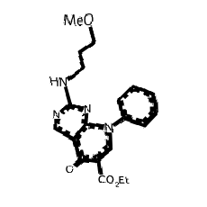 CCOC(=O)c1cn(-c2ccccc2)c2nc(NCCCOC)ncc2c1=O